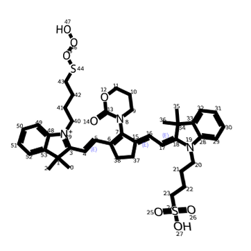 CC1(C)C(/C=C/C2=C(N3CCCOC3=O)C(=C/C=C3/N(CCCCS(=O)(=O)O)c4ccccc4C3(C)C)/CC2)=[N+](CCCCSOOO)c2ccccc21